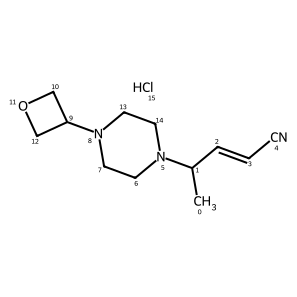 CC(C=CC#N)N1CCN(C2COC2)CC1.Cl